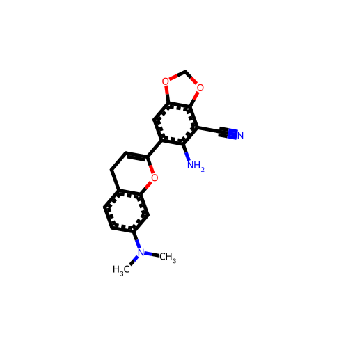 CN(C)c1ccc2c(c1)OC(c1cc3c(c(C#N)c1N)OCO3)=CC2